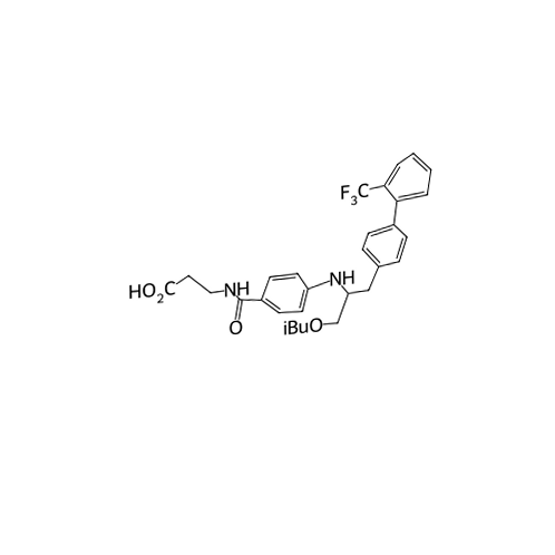 CC(C)COCC(Cc1ccc(-c2ccccc2C(F)(F)F)cc1)Nc1ccc(C(=O)NCCC(=O)O)cc1